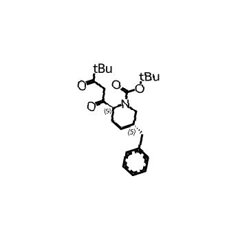 CC(C)(C)OC(=O)N1C[C@H](Cc2ccccc2)CC[C@H]1C(=O)CC(=O)C(C)(C)C